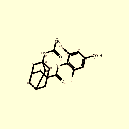 O=C(O)c1cc(I)c(OC(=O)C23CC4CC(CC(NC(=O)C(F)(F)F)(C4)C2)C3)c(I)c1